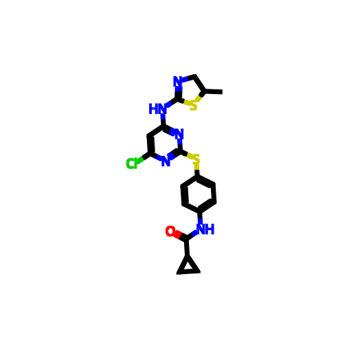 CC1CN=C(Nc2cc(Cl)nc(Sc3ccc(NC(=O)C4CC4)cc3)n2)S1